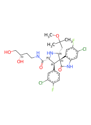 COC(C)(C)C[C@H]1N[C@@H](C(=O)NCC[C@H](O)CO)[C@H](c2ccc(F)c(Cl)c2)[C@@]12C(=O)Nc1cc(Cl)c(F)cc12